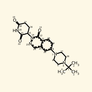 CC(C)(C)N1CCN(c2ccc3c(=O)n(C4CCC(=O)NC4=O)ncc3c2)CC1